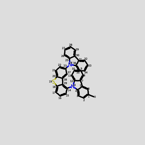 Cc1ccc2c(c1)c1ccccc1n2-c1cccc2sc3ccc(-n4c5ccccc5c5ccccc54)cc3c12